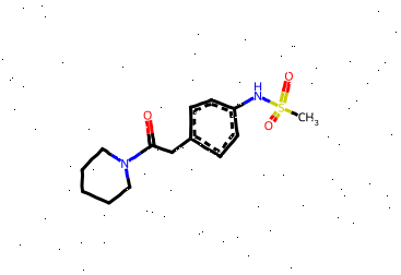 CS(=O)(=O)Nc1ccc(CC(=O)N2CCCCC2)cc1